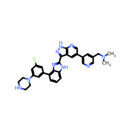 CN(C)Cc1cncc(-c2cnc3[nH]nc(-c4nc5c(-c6cc(F)cc(N7CCNCC7)c6)cccc5[nH]4)c3c2)c1